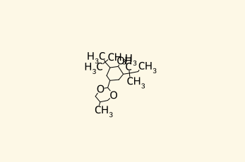 CCC(C)(C)C1CC(C2OCC(C)CO2)CC(C(C)(C)C)C1O